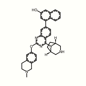 CN1CCc2cc(Oc3nc(N4[C@@H]5CC[C@H]4CNC5)c4ccc(-c5cc(O)cc6ccccc56)cc4n3)ccc2C1